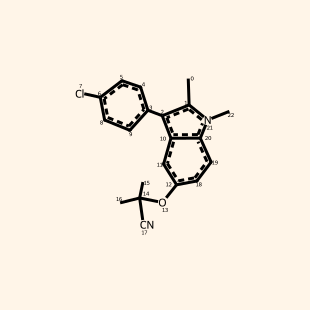 Cc1c(-c2ccc(Cl)cc2)c2cc(OC(C)(C)C#N)ccc2n1C